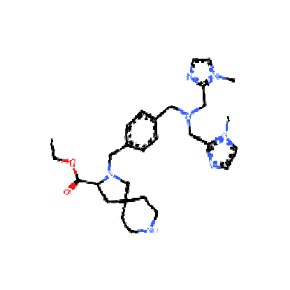 CCOC(=O)C1CC2(CCNCC2)CN1Cc1ccc(CN(Cc2nccn2C)Cc2nccn2C)cc1